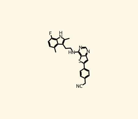 Cc1[nH]c2c(F)ccc(C)c2c1CCNc1ncnc2cc(-c3ccc(CC#N)cc3)sc12